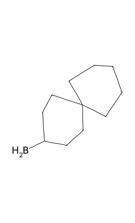 BC1CCC2(CCCCC2)CC1